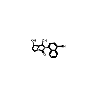 N#Cc1ccc(N2C(=O)N3CC[C@@H](O)C3[C@H]2O)c2ccccc12